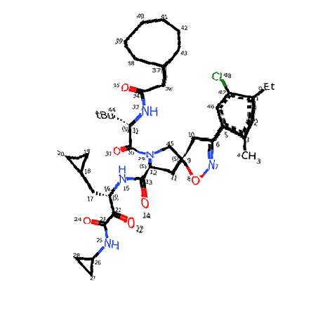 CCc1cc(C)c(C2=NO[C@]3(C2)C[C@@H](C(=O)N[C@@H](CC2CC2)C(=O)C(=O)NC2CC2)N(C(=O)[C@@H](NC(=O)CC2CCCCCC2)C(C)(C)C)C3)cc1Cl